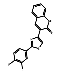 O=c1[nH]c2ccccc2cc1-c1csc(-c2ccc(F)c(Cl)c2)n1